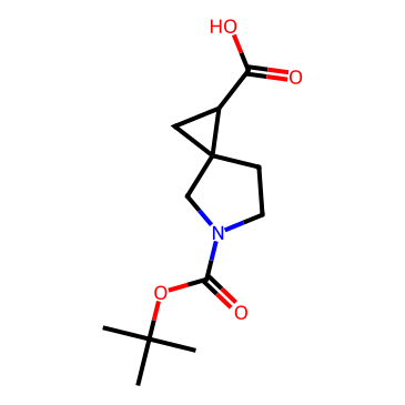 CC(C)(C)OC(=O)N1CCC2(CC2C(=O)O)C1